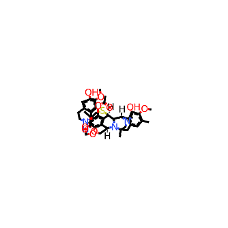 COc1cc2c(cc1O)CCN[C@]21CS[C@@H]2c3c(OC(C)=O)c(C)c4c(c3[C@H](COC1=O)N1C2[C@@H]2c3c(cc(C)c(OC)c3O)CC1(C)CN2C)OCO4